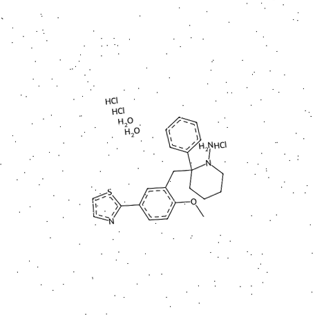 COc1ccc(-c2nccs2)cc1CC1(c2ccccc2)CCCCN1N.Cl.Cl.Cl.O.O